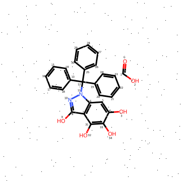 O=CO.Oc1cc2c(c(O)nn2C(c2ccccc2)(c2ccccc2)c2ccccc2)c(O)c1O